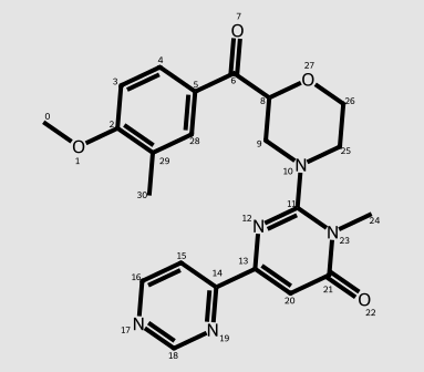 COc1ccc(C(=O)C2CN(c3nc(-c4ccncn4)cc(=O)n3C)CCO2)cc1C